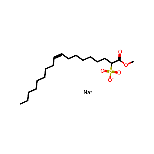 CCCCCCCC/C=C\CCCCCCC(C(=O)OC)S(=O)(=O)[O-].[Na+]